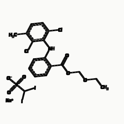 CCOCOC(=O)c1ccccc1Nc1c(Cl)ccc(C)c1Cl.O=S(=O)([O-])C(I)I.[Na+]